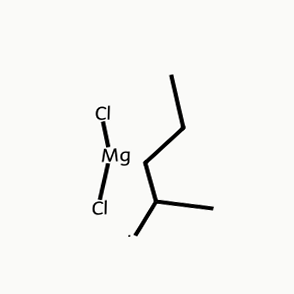 [CH2]C(C)CCC.[Cl][Mg][Cl]